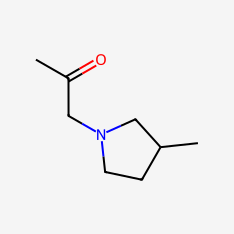 CC(=O)CN1CCC(C)C1